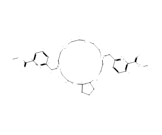 COC(=O)c1cccc(CN2CCOCCOCCN(Cc3cccc(C(=O)OC)n3)CCOC3CCCC3OCC2)n1